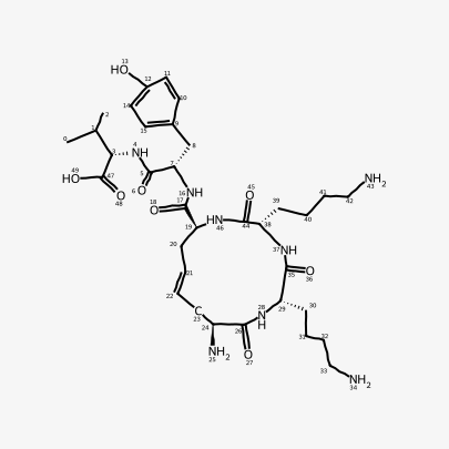 CC(C)[C@H](NC(=O)[C@H](Cc1ccc(O)cc1)NC(=O)[C@@H]1C/C=C/C[C@H](N)C(=O)N[C@@H](CCCCN)C(=O)N[C@@H](CCCCN)C(=O)N1)C(=O)O